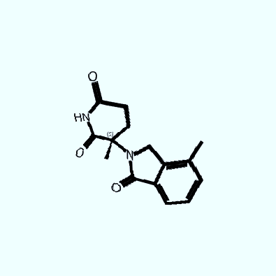 Cc1cccc2c1CN([C@@]1(C)CCC(=O)NC1=O)C2=O